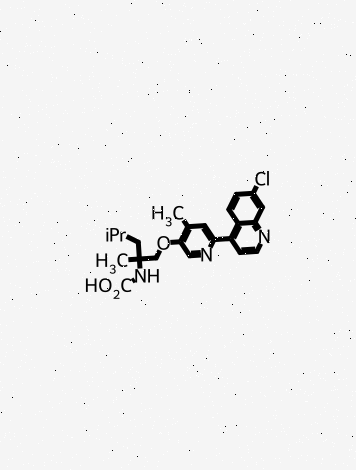 Cc1cc(-c2ccnc3cc(Cl)ccc23)ncc1OCC(C)(CC(C)C)NC(=O)O